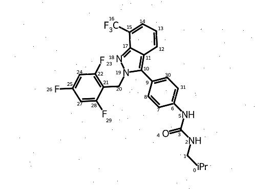 CC(C)CNC(=O)Nc1ccc(-c2c3cccc(C(F)(F)F)c3nn2Cc2c(F)cc(F)cc2F)cc1